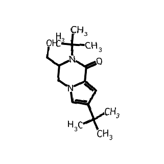 CC(C)(C)c1cc2n(c1)CC(CO)N(C(C)(C)C)C2=O